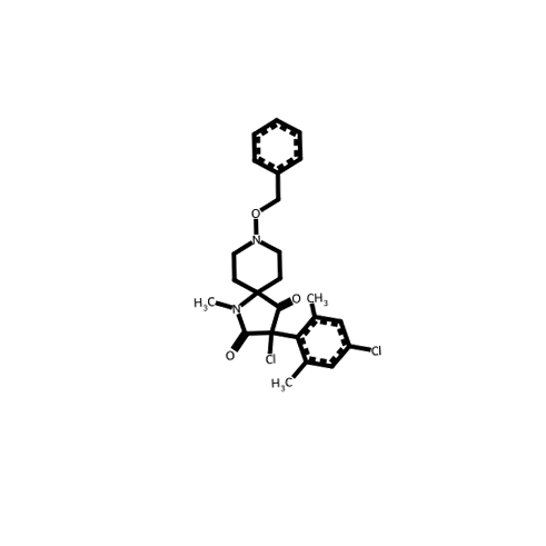 Cc1cc(Cl)cc(C)c1C1(Cl)C(=O)N(C)C2(CCN(OCc3ccccc3)CC2)C1=O